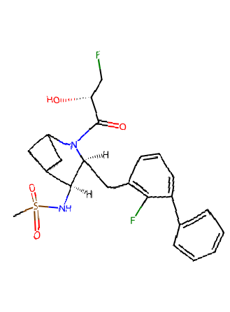 CS(=O)(=O)N[C@H]1C2CC(C2)N(C(=O)[C@H](O)CF)[C@H]1Cc1cccc(-c2ccccc2)c1F